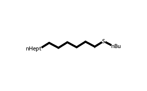 CCCCCCCCCCCC[CH]SCCCC